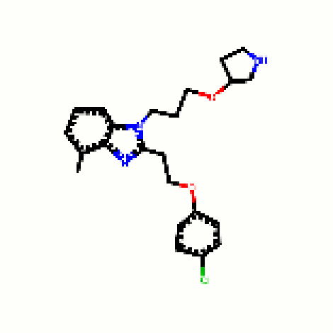 Cc1cccc2c1nc(CCOc1ccc(Cl)cc1)n2CCCOC1CCNC1